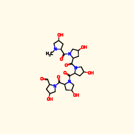 CN1CC(O)CC1C(=O)N1CC(O)CC1C(=O)N1CC(O)CC1C(=O)N1CC(O)CC1C(=O)N1CC(O)CC1C=O